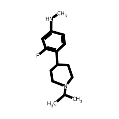 CNc1ccc(C2CCN(C(C)C)CC2)c(F)c1